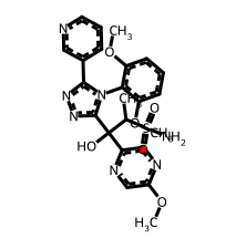 COc1cnc(C(O)(c2nnc(-c3cccnc3)n2-c2c(OC)cccc2OC)C(C)S(N)(=O)=O)cn1